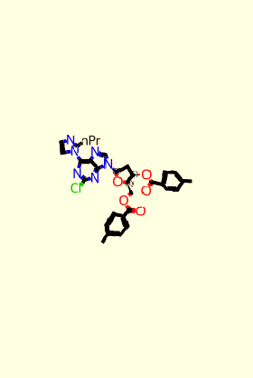 CCCc1nccn1-c1nc(Cl)nc2c1ncn2[C@H]1C[C@H](OC(=O)c2ccc(C)cc2)[C@@H](COC(=O)c2ccc(C)cc2)O1